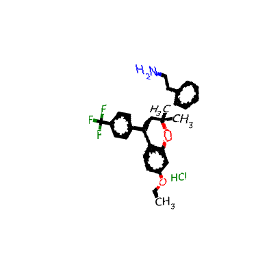 CCOc1ccc2c(c1)OC(C)(C)C=C2c1ccc(C(F)(F)F)cc1.Cl.NCCc1ccccc1